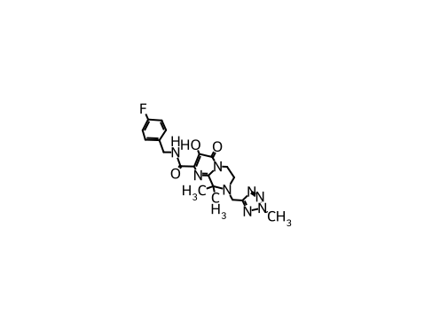 Cn1nnc(CN2CCn3c(nc(C(=O)NCc4ccc(F)cc4)c(O)c3=O)C2(C)C)n1